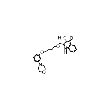 Cc1c(COCCCCOc2cccc(N3CCOCC3)c2)[nH]c2ccccc2c1=O